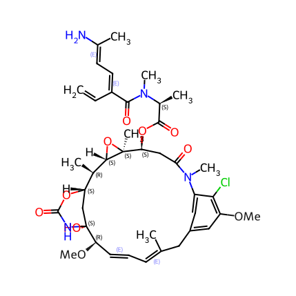 C=C/C(=C\C=C(/C)N)C(=O)N(C)[C@@H](C)C(=O)O[C@H]1CC(=O)N(C)c2cc(cc(OC)c2Cl)C/C(C)=C/C=C/[C@@H](OC)[C@@]2(O)C[C@H](OC(=O)N2)[C@@H](C)[C@@H]2O[C@@]12C